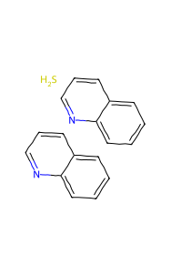 S.c1ccc2ncccc2c1.c1ccc2ncccc2c1